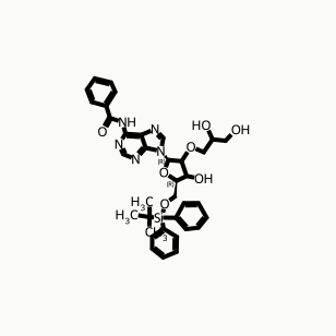 CC(C)(C)[Si](OC[C@H]1O[C@@H](n2cnc3c(NC(=O)c4ccccc4)ncnc32)C(OCC(O)CO)C1O)(c1ccccc1)c1ccccc1